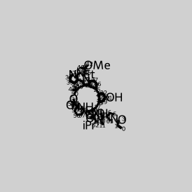 C=CC(=O)N1CC[C@H](C(=O)N(C)C(C(=O)N[C@H]2Cc3cc(O)cc(c3)-c3ccc4c(c3)c(c(-c3cccnc3N3CC(OC)C3)n4CC)CC(C)(C)COC(=O)[C@@H]3CCCN(N3)C2=O)C(C)C)C1